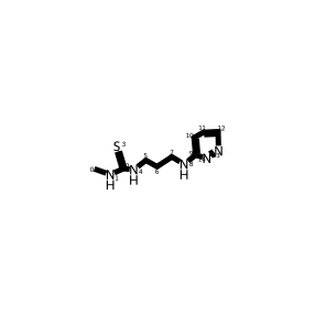 CNC(=S)NCCCNc1cccnn1